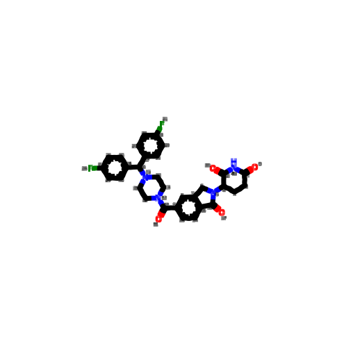 O=C1CCC(N2Cc3cc(C(=O)N4CCN(C(c5ccc(F)cc5)c5ccc(F)cc5)CC4)ccc3C2=O)C(=O)N1